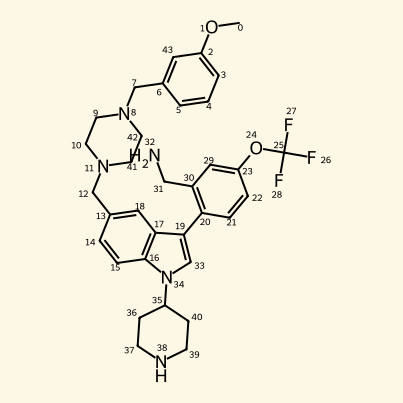 COc1cccc(CN2CCN(Cc3ccc4c(c3)c(-c3ccc(OC(F)(F)F)cc3CN)cn4C3CCNCC3)CC2)c1